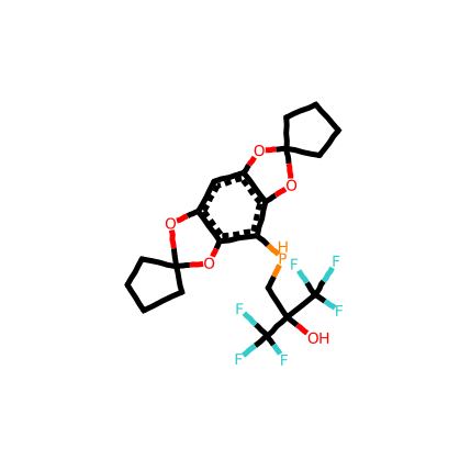 OC(CPc1c2c(cc3c1OC1(CCCC1)O3)OC1(CCCC1)O2)(C(F)(F)F)C(F)(F)F